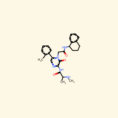 CNC(C)C(=O)Nc1ncc(-c2ccccc2C)n(CC(=O)NC2CCCc3ccccc32)c1=O